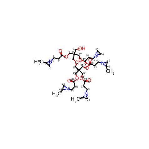 CC1CN1CCC(=O)OCC(CO)(COCC(COC(=O)CCN1CC1C)(COC(=O)CCN1CC1C)COC(=O)CCN1CC1C)COC(=O)CCN1CC1